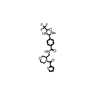 CN1OC(C(F)(F)F)NC1c1ccc(C(=O)NCC2COCCN2C(=O)c2cccs2)cc1